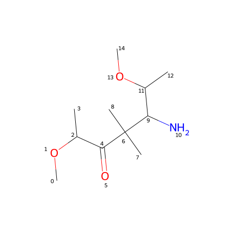 COC(C)C(=O)C(C)(C)C(N)C(C)OC